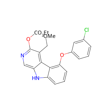 CCOC(=O)Oc1ncc2[nH]c3cccc(Oc4cccc(Cl)c4)c3c2c1COC